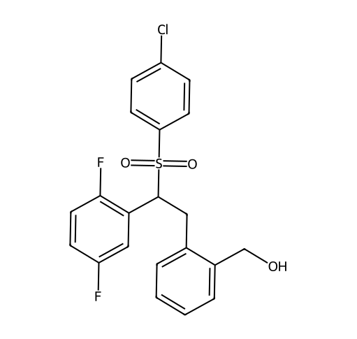 O=S(=O)(c1ccc(Cl)cc1)C(Cc1ccccc1CO)c1cc(F)ccc1F